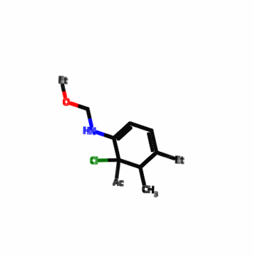 CCOCNC1=CC=C(CC)C(C)C1(Cl)C(C)=O